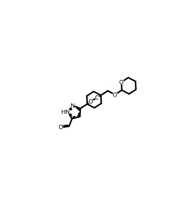 O=Cc1cc(C23CCC(COC4CCCCO4)(CC2)CO3)n[nH]1